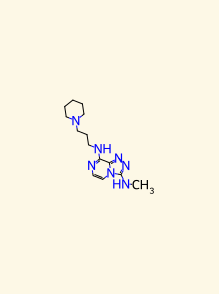 CNc1nnc2c(NCCCN3CCCCC3)nccn12